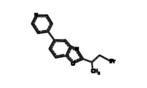 CC(C)CC(C)c1nc2cc(-c3ccncc3)ccc2o1